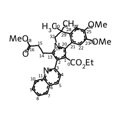 CCOC(=O)c1c(-c2ccc3ccccc3n2)c(CCC(=O)OC)n2c1-c1cc(OC)c(OC)cc1C(C)(C)C2